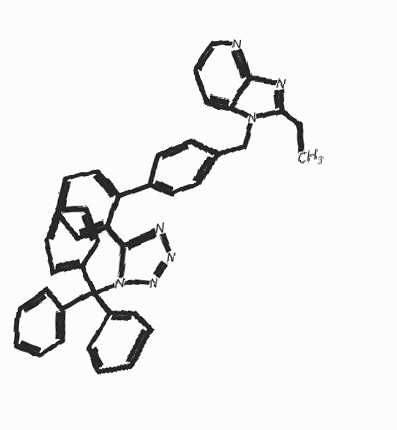 CCc1nc2ncccc2n1Cc1ccc(-c2ccccc2-c2nnnn2C(c2ccccc2)(c2ccccc2)c2ccccc2)cc1